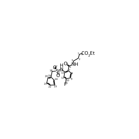 CCOC(=O)CCCNC(=O)c1ccc(F)cc1NS(=O)(=O)Cc1ccccc1